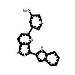 COc1cncc(-c2ccc3[nH]nc(-c4cc5ccccc5[nH]4)c3n2)c1